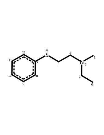 CCN(C)CCSc1ccccc1